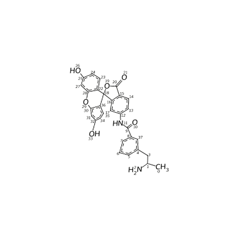 CC(N)Cc1cccc(C(=O)Nc2ccc3c(c2)C2(OC3=O)c3ccc(O)cc3Oc3cc(O)ccc32)c1